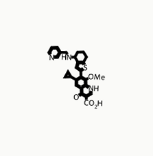 COc1c(-c2cc3c(s2)CCCC3NCc2cccnc2)c(C2CC2)cc2c(=O)c(C(=O)O)c[nH]c12